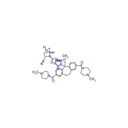 C[C@H](CC1(c2nnn[nH]2)c2ccc(C(=O)N3CCN(C)CC3)cc2CCc2cc(C(=O)N3CCN(C)CC3)ccc21)NCC(=O)N1C(C#N)C[C@@H]2C[C@@H]21